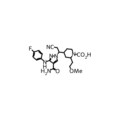 COCCC1CC(C(CC#N)n2cc(C(N)=O)c(Nc3ccc(F)cc3)n2)CCN1C(=O)O